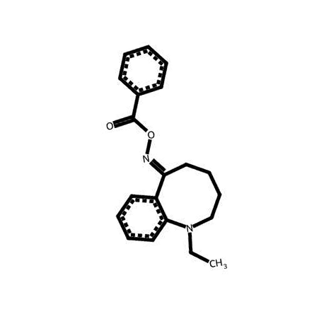 CCN1CCCC/C(=N\OC(=O)c2ccccc2)c2ccccc21